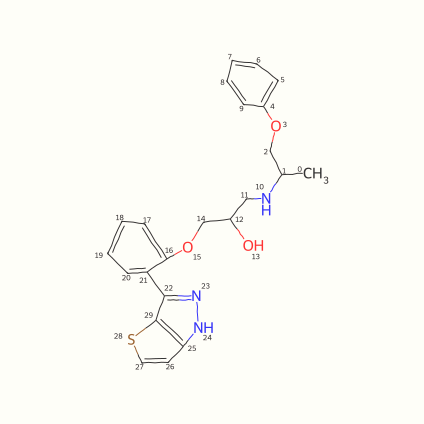 CC(COc1ccccc1)NCC(O)COc1ccccc1-c1n[nH]c2ccsc12